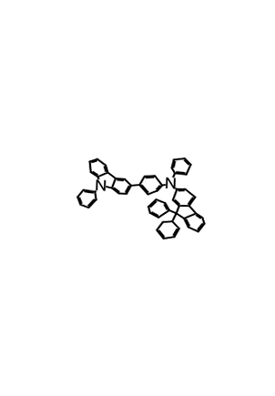 C1=CCC(C2(c3ccccc3)c3ccccc3-c3ccc(N(c4ccccc4)c4ccc(-c5ccc6c(c5)c5ccccc5n6-c5ccccc5)cc4)cc32)C=C1